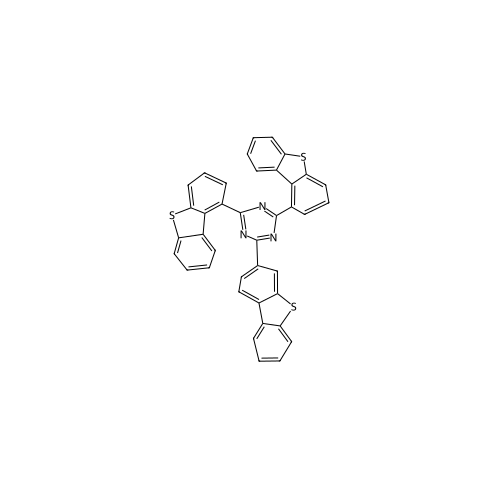 c1ccc2c(c1)sc1cc(-c3nc(-c4cccc5sc6ccccc6c45)nc(-c4cccc5sc6ccccc6c45)n3)ccc12